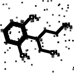 CCN(CCN)c1c(C)cccc1C